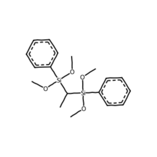 CO[Si](OC)(c1ccccc1)C(C)[Si](OC)(OC)c1ccccc1